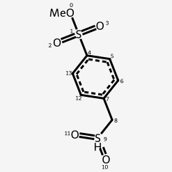 COS(=O)(=O)c1ccc(C[SH](=O)=O)cc1